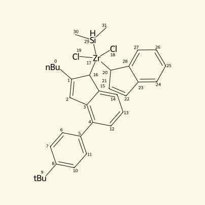 CCCCC1=Cc2c(-c3ccc(C(C)(C)C)cc3)cccc2[CH]1[Zr]([Cl])([Cl])([CH]1C=Cc2ccccc21)[SiH](C)C